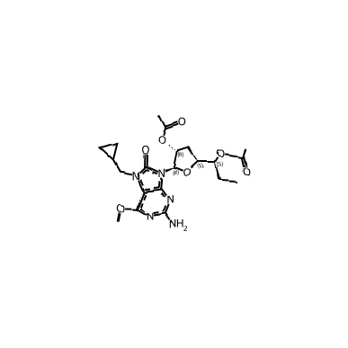 CC[C@H](OC(C)=O)[C@@H]1C[C@@H](OC(C)=O)[C@H](n2c(=O)n(CC3CC3)c3c(OC)nc(N)nc32)O1